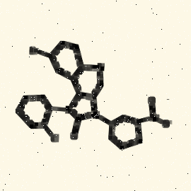 O=c1n(-c2cccc([N+](=O)[O-])c2)c2cnc3ccc(Br)cc3c2n1-c1ccccc1Cl